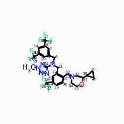 Cn1nnc(N(Cc2cc(C(F)(F)F)cc(C(F)(F)F)c2)Cc2cc(C(F)(F)F)ccc2CN2CCOC(C3CC3)C2)n1